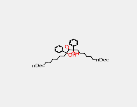 CCCCCCCCCCCCCCCCC(O)(C(=O)C(O)(CCCCCCCCCCCCCCCC)c1ccccc1)c1ccccc1